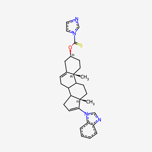 C[C@]12CC[C@H](OC(=S)n3ccnc3)CC1=CCC1C2CC[C@]2(C)C(n3cnc4ccccc43)=CCC12